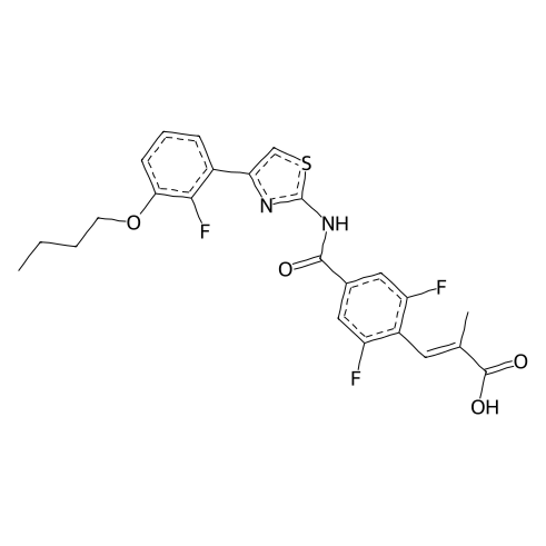 CCCCOc1cccc(-c2csc(NC(=O)c3cc(F)c(/C=C(\C)C(=O)O)c(F)c3)n2)c1F